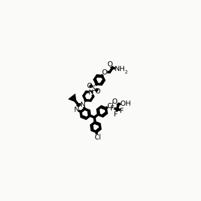 NC(=O)COc1ccc(S(=O)(=O)N2CCC(N3C(C4CC4)=NC4C=CC(C(c5ccc(Cl)cc5)c5ccc(Cl)cc5)=CC43)CC2)cc1.O=C(O)C(F)(F)F